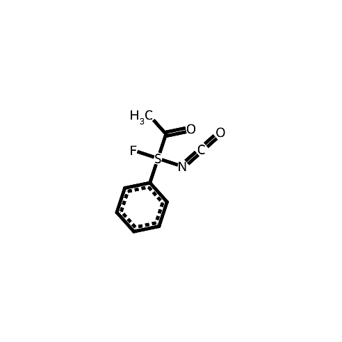 CC(=O)S(F)(N=C=O)c1ccccc1